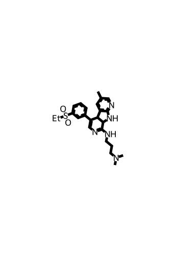 CCS(=O)(=O)c1cccc(C2=CN=C(NCCCN(C)C)C3Nc4ncc(C)cc4C23)c1